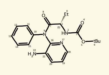 CC[C@H](NC(=O)OC(C)(C)C)C(=O)N(c1ccccc1)c1ncccc1N